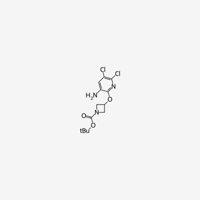 CC(C)(C)OC(=O)N1CC(Oc2nc(Cl)c(Cl)cc2N)C1